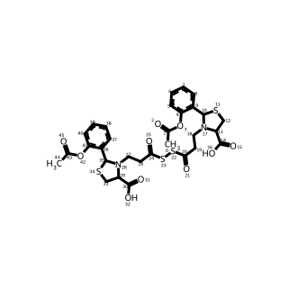 CC(=O)Oc1ccccc1C1SCC(C(=O)O)N1CCC(=O)SSC(=O)CCN1C(C(=O)O)CSC1c1ccccc1OC(C)=O